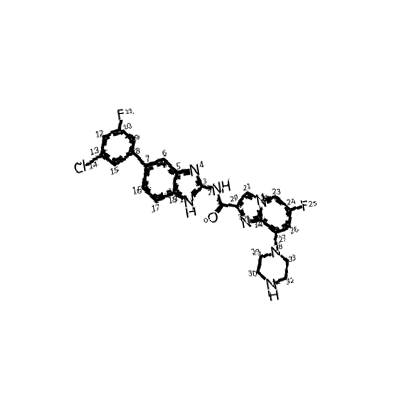 O=C(Nc1nc2cc(-c3cc(F)cc(Cl)c3)ccc2[nH]1)c1cn2cc(F)cc(N3CCNCC3)c2n1